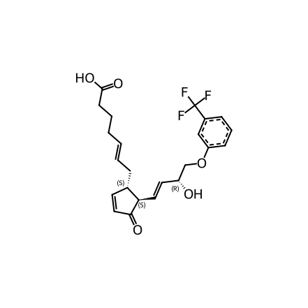 O=C(O)CCCC=CC[C@H]1C=CC(=O)[C@@H]1C=C[C@@H](O)COc1cccc(C(F)(F)F)c1